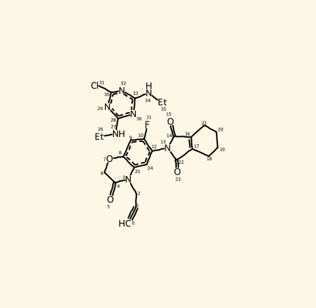 C#CCN1C(=O)COc2cc(F)c(N3C(=O)C4=C(CCCC4)C3=O)cc21.CCNc1nc(Cl)nc(NCC)n1